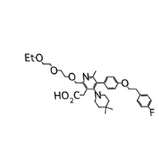 CCOCCOCCOCc1nc(C)c(-c2ccc(OCCc3ccc(F)cc3)cc2)c(N2CCC(C)(C)CC2)c1CC(=O)O